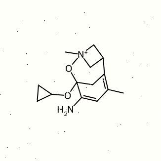 CC1=C2CC(OC3CC3)(O[N+]3(C)CC2C3)C(N)=C1